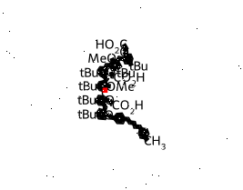 COc1c(Cc2cc(C(C)(C)C)ccc2OCC(=O)O)cc(C(C)(C)C)cc1Cc1cc(C(C)(C)C)cc(Cc2cc(C(C)(C)C)cc(Cc3cc(C(C)(C)C)cc(Cc4cc(C(C)(C)C)ccc4OCc4ccc(CCCCCc5ccc(C)cc5)cc4)c3OCC(=O)O)c2OC)c1OCC(=O)O